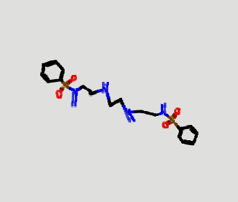 O=S(=O)(NCCNCCNCCNS(=O)(=O)c1ccccc1)c1ccccc1